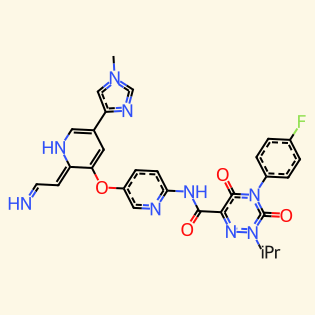 CC(C)n1nc(C(=O)Nc2ccc(OC3=CC(c4cn(C)cn4)=CN/C3=C\C=N)cn2)c(=O)n(-c2ccc(F)cc2)c1=O